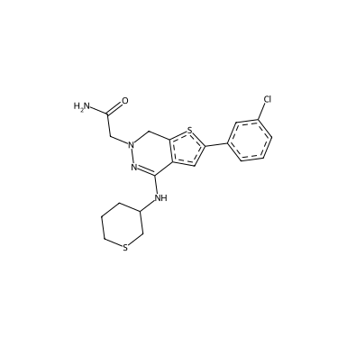 NC(=O)CN1Cc2sc(-c3cccc(Cl)c3)cc2C(NC2CCCSC2)=N1